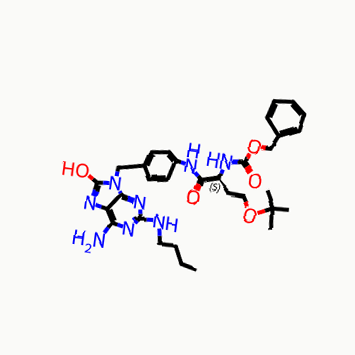 CCCCNc1nc(N)c2nc(O)n(Cc3ccc(NC(=O)[C@H](CCOC(C)(C)C)NC(=O)OCc4ccccc4)cc3)c2n1